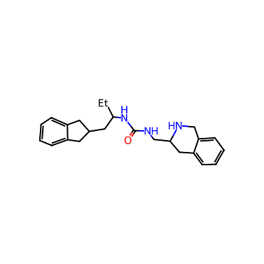 CCC(CC1Cc2ccccc2C1)NC(=O)NCC1Cc2ccccc2CN1